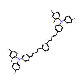 Cc1ccc(N(c2ccc(/C=C/C=C/c3cccc(/C=C/C=C/c4ccc(N(c5ccc(C)cc5)c5ccc(C)cc5C)cc4)c3)cc2)c2ccc(C)cc2C)cc1